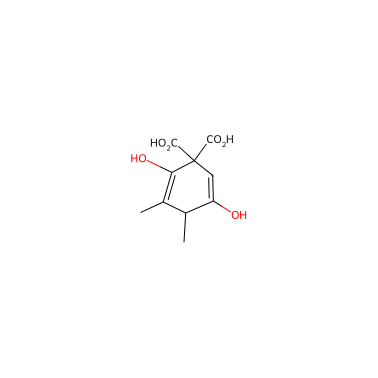 CC1=C(O)C(C(=O)O)(C(=O)O)C=C(O)C1C